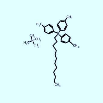 CCCCCCCCCCCC[B-](c1ccc(C)cc1)(c1ccc(C)cc1)c1ccc(C)cc1.C[N+](C)(C)C